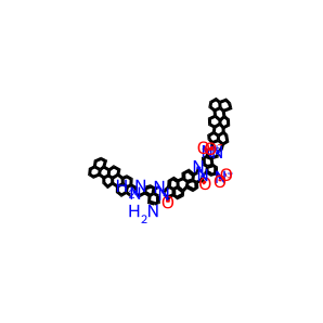 Nc1cc2c(CN3CC4CCC5C6CCC7C8CCCC9CCCC(C%10CCC(C%11CCC(C3)C4C5%11)C6C7%10)C98)c(N)cc3nc4c5ccc6c7ccc8c9c(ccc(c%10ccc(c(=O)n4c(c1)c32)c5c%106)c79)c(=O)n1c2cc([N+](=O)[O-])cc3c(CN4CC5CCC6C7CCC9C%10CCCC%11CCCC(C%12CCC(C%13CCC(C4)C5C6%13)C7C9%12)C%11%10)c([N+](=O)[O-])cc(nc81)c32